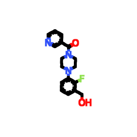 O=C(c1cccnc1)N1CCN(c2cccc(CO)c2F)CC1